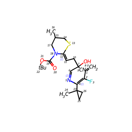 C=C/C(F)=C(\N=C/C(O)(C#N)C/C=C1\SCC(C)CN1C(=O)OC(C)(C)C)C1(C)CC1